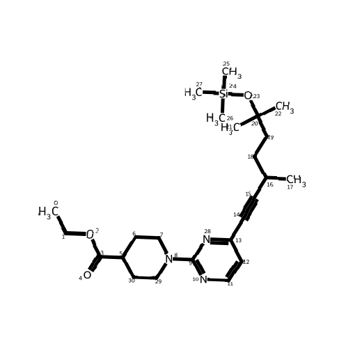 CCOC(=O)C1CCN(c2nccc(C#CC(C)CCC(C)(C)O[Si](C)(C)C)n2)CC1